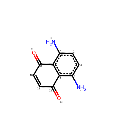 Nc1ccc(N)c2c1C(=O)C=CC2=O